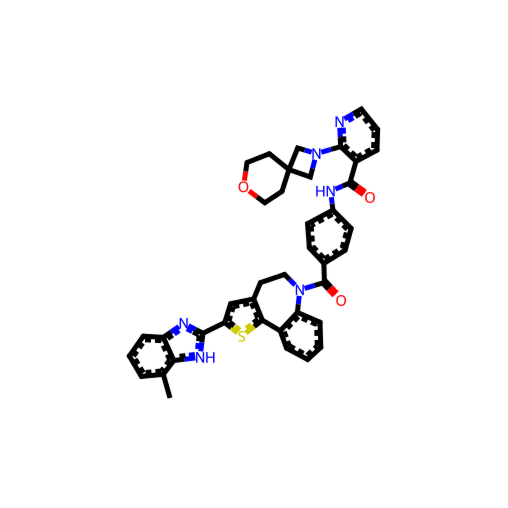 Cc1cccc2nc(-c3cc4c(s3)-c3ccccc3N(C(=O)c3ccc(NC(=O)c5cccnc5N5CC6(CCOCC6)C5)cc3)CC4)[nH]c12